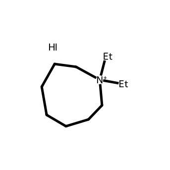 CC[N+]1(CC)CCCCCCC1.I